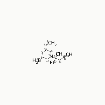 BC1CC(C=C)CN(C(C)(CC)CC#C)C1